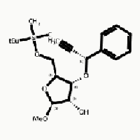 C#C[C@@H](O[C@@H]1[C@H](O)[C@@H](OC)O[C@H]1CO[Si](C)(C)C(C)(C)C)c1ccccc1